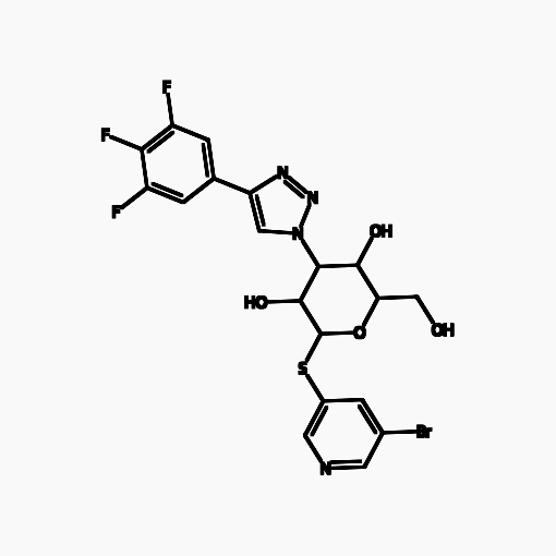 OCC1OC(Sc2cncc(Br)c2)C(O)C(n2cc(-c3cc(F)c(F)c(F)c3)nn2)C1O